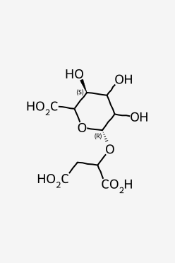 O=C(O)CC(O[C@@H]1OC(C(=O)O)[C@@H](O)C(O)C1O)C(=O)O